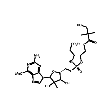 CCOC(=O)CCNP(=O)(OCCSC(=O)C(C)(C)CO)OC[C@H]1OC(n2cnc3c(OC)nc(N)nc32)C(C)(O)C1O